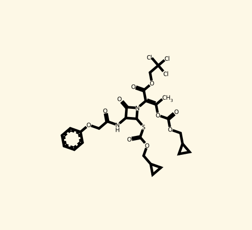 C/C(OC(=O)OCC1CC1)=C(\C(=O)OCC(Cl)(Cl)Cl)N1C(=O)C(NC(=O)COc2ccccc2)C1SC(=O)OCC1CC1